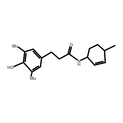 CC1C=CC(NC(=O)CCc2cc(C(C)(C)C)c(O)c(C(C)(C)C)c2)CC1